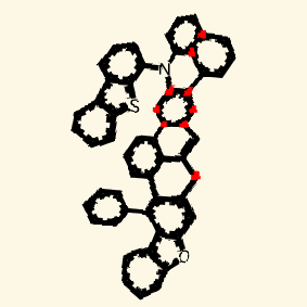 C/C(=C/c1ccc(N(c2ccccc2)c2cccc3c2sc2ccccc23)cc1)c1c(-c2ccc(-c3ccccc3)cc2)cccc1-c1c(C)cc2oc3ccccc3c2c1-c1ccccc1